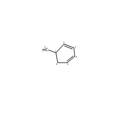 [CH]C1C=CC=CC1